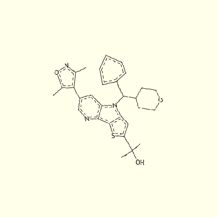 Cc1noc(C)c1-c1cnc2c3sc(C(C)(C)O)cc3n(C(c3ccccc3)C3CCOCC3)c2c1